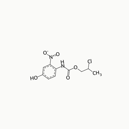 CC(Cl)COC(=O)Nc1ccc(O)cc1[N+](=O)[O-]